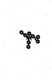 c1ccc(-c2ccc(-c3nc(-c4ccc(-c5ccccc5)cc4)nc(-c4cc(-c5cc6ccccc6c6ccccc56)ccc4-c4ccccc4)n3)cc2)cc1